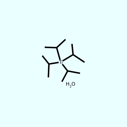 C[CH](C)[Ti]([CH](C)C)([CH](C)C)[CH](C)C.O